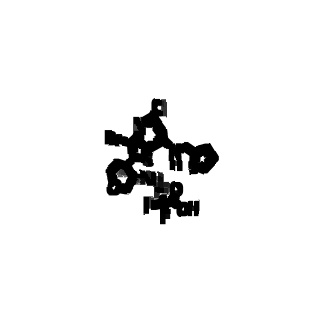 N[C@@H]1COCC[C@H]1c1sc2c(NCc3cccs3)cc(Cl)nc2c1Br.O=C(O)C(F)(F)F